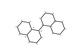 C1CCC2C(C1)CCCC2C1CCCC2CCCCC21